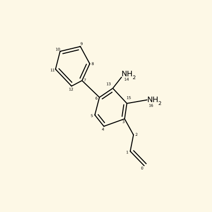 C=CCc1ccc(-c2ccccc2)c(N)c1N